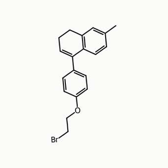 Cc1ccc2c(c1)CCC=C2c1ccc(OCCBr)cc1